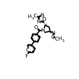 CON=C1C[C@@H](c2nc(C)no2)N(C(=O)c2ccc(-c3ccc(F)cc3)cc2)C1